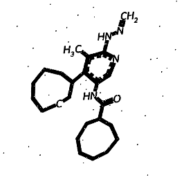 C=NNc1ncc(NC(=O)C2CCCCCCC2)c(C2CCCCCCC2)c1C